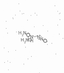 NC(=O)c1cc(N)ccc1NCCCN1CCN(c2ccccc2)CC1